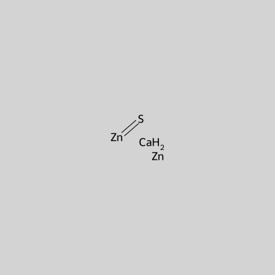 [CaH2].[S]=[Zn].[Zn]